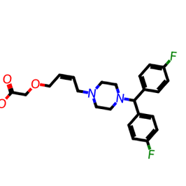 O=C(O)COC/C=C\CN1CCN(C(c2ccc(F)cc2)c2ccc(F)cc2)CC1